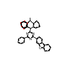 CC12c3ccccc3C(c3nc(-c4ccccc4)nc(-c4ccc5c(c4)oc4ccccc45)n3)(c3ccccc31)c1ccccc12